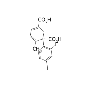 CC1=CC=C(C(=O)O)CC1(C(=O)O)c1ccc(I)cc1F